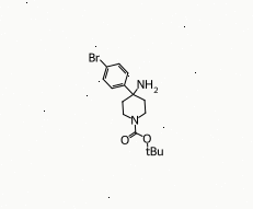 CC(C)(C)OC(=O)N1CCC(N)(c2ccc(Br)cc2)CC1